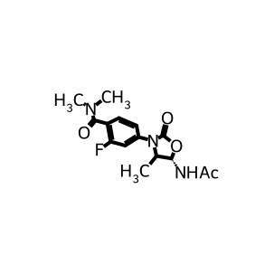 CC(=O)N[C@H]1OC(=O)N(c2ccc(C(=O)N(C)C)c(F)c2)C1C